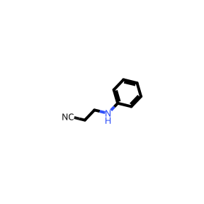 N#CCCNc1ccccc1